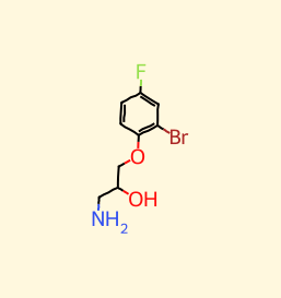 NCC(O)COc1ccc(F)cc1Br